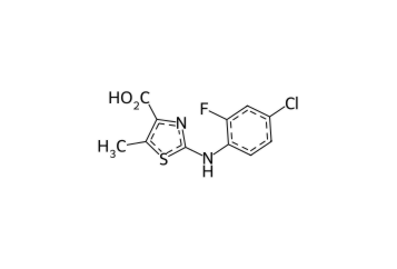 Cc1sc(Nc2ccc(Cl)cc2F)nc1C(=O)O